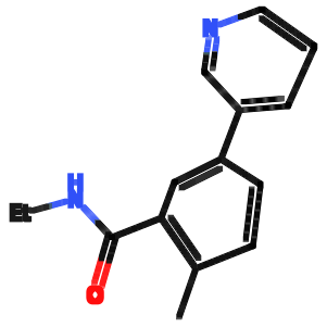 CCNC(=O)c1cc(-c2cccnc2)ccc1C